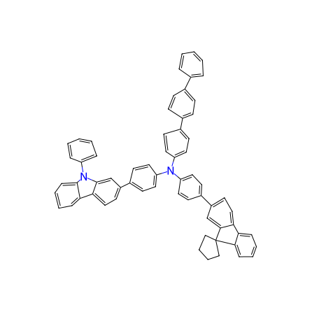 c1ccc(-c2ccc(-c3ccc(N(c4ccc(-c5ccc6c(c5)C5(CCCC5)c5ccccc5-6)cc4)c4ccc(-c5ccc6c7ccccc7n(-c7ccccc7)c6c5)cc4)cc3)cc2)cc1